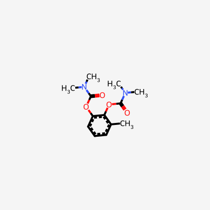 Cc1cccc(OC(=O)N(C)C)c1OC(=O)N(C)C